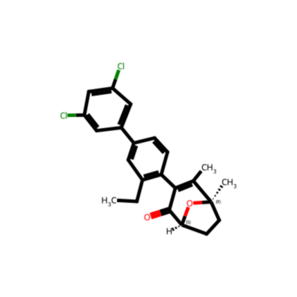 CCc1cc(-c2cc(Cl)cc(Cl)c2)ccc1C1=C(C)[C@@]2(C)CC[C@H](O2)C1=O